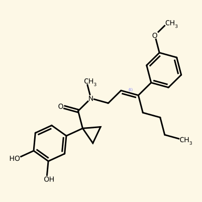 CCCC/C(=C\CN(C)C(=O)C1(c2ccc(O)c(O)c2)CC1)c1cccc(OC)c1